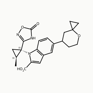 C[C@H]1C[C@]1(c1noc(=O)[nH]1)n1c(C(=O)O)cc2cc(C3CCOC4(CC4)C3)ccc21